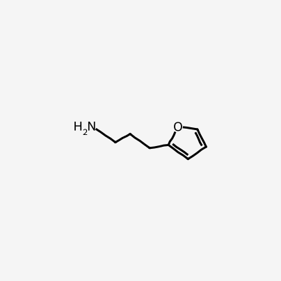 NCCCc1ccco1